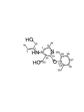 CC=C(CO)Nc1cc(C)nc(Oc2c(C)cccc2C)c1CO